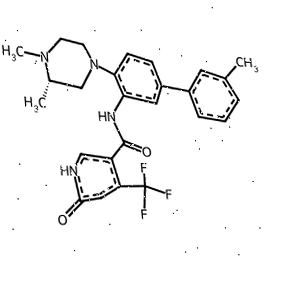 Cc1cccc(-c2ccc(N3CCN(C)[C@@H](C)C3)c(NC(=O)c3c[nH]c(=O)cc3C(F)(F)F)c2)c1